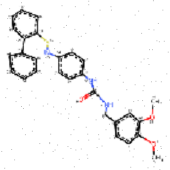 COc1ccc(CNC(=O)Nc2ccc(NSc3ccccc3-c3ccccc3)cc2)cc1OC